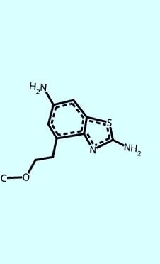 COCCc1cc(N)cc2sc(N)nc12